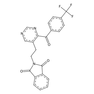 O=C(c1ccc(C(F)(F)F)cc1)c1ncncc1CCN1C(=O)c2ccccc2C1=O